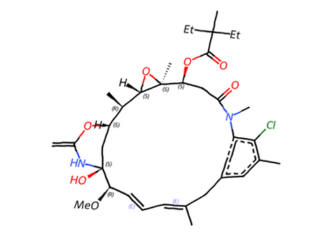 C=C1N[C@]2(O)C[C@H](O1)[C@@H](C)[C@@H]1O[C@@]1(C)[C@@H](OC(=O)C(C)(CC)CC)CC(=O)N(C)c1cc(cc(C)c1Cl)C/C(C)=C/C=C/[C@H]2OC